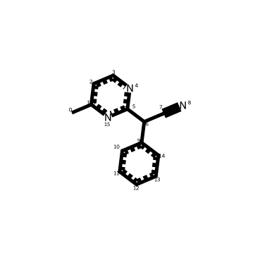 Cc1ccnc(C(C#N)c2ccccc2)n1